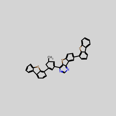 CC1C=C(c2ncnc3c2sc2ccc(-c4cccc5c4sc4ccccc45)cc23)C=C(c2cccc3c2sc2ccccc23)C1